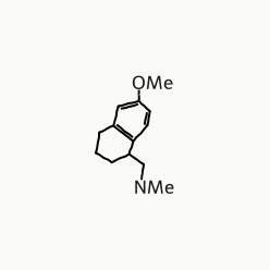 CNCC1CCCc2cc(OC)ccc21